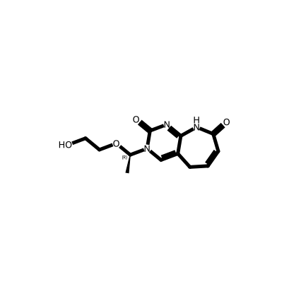 C[C@@H](OCCO)n1cc2c(nc1=O)NC(=O)C=CC2